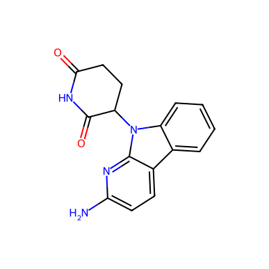 Nc1ccc2c3ccccc3n(C3CCC(=O)NC3=O)c2n1